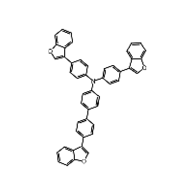 c1ccc2c(-c3ccc(-c4ccc(N(c5ccc(-c6coc7ccccc67)cc5)c5ccc(-c6coc7ccccc67)cc5)cc4)cc3)coc2c1